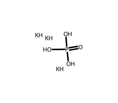 O=P(O)(O)O.[KH].[KH].[KH]